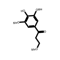 COCCC(=O)c1cc(OC)c(O)c(OC)c1